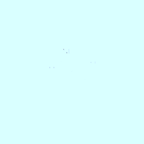 C=C(C)C=O.NC(=O)O